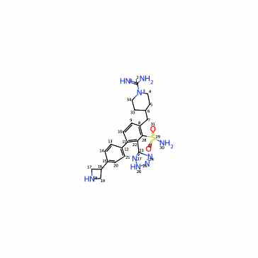 N=C(N)N1CCC(Cc2ccc(-c3ccc(C4CNC4)cc3)c(-c3nn[nH]n3)c2S(N)(=O)=O)CC1